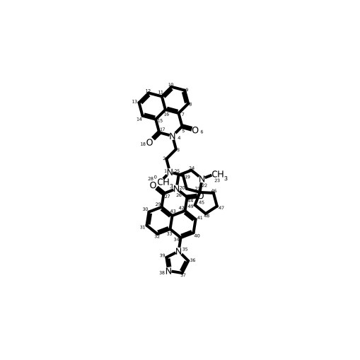 CN(CCN1C(=O)c2cccc3cccc(c23)C1=O)CCC1(N(C)CCN2C(=O)c3cccc4c(-n5ccnc5)ccc(c34)C2=O)CCCC1